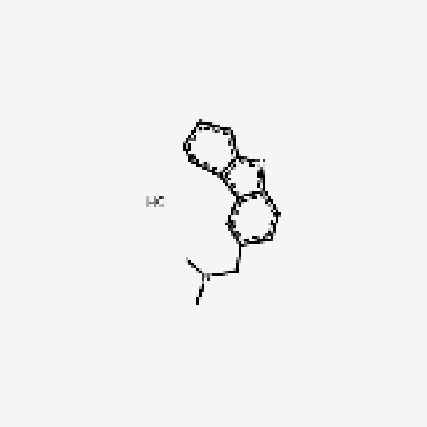 CN(C)Cc1ccc2oc3ccccc3c2c1.Cl